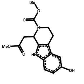 COC(=O)CC1c2[nH]c3ccc(O)cc3c2CCN1C(=O)OC(C)(C)C